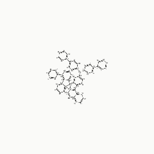 c1ccc(-c2ccc(N(c3ccc(-c4ccccc4)cc3)c3ccc4c(c3)C3(c5ccccc5-c5c(-c6cccnc6)cccc53)c3ccc5ccccc5c3-4)cc2)cc1